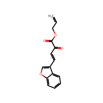 C=CCOC(=O)C(=O)/C=C/c1coc2ccccc12